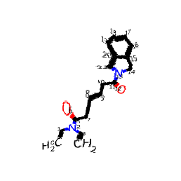 C=CN(C=C)C(=O)CCCCC(=O)N1Cc2ccccc2C1